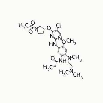 C=CC(=O)Nc1cc(Nc2ncc(Cl)c(O[C@@H]3CCN(S(C)(=O)=O)C3)n2)c(OC)cc1N(C)CCN(C)C